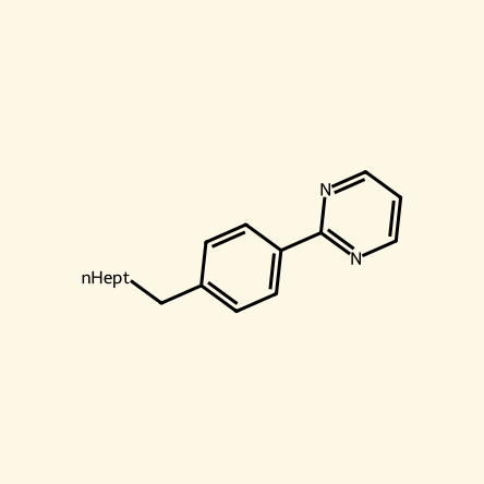 CCCCCCCCc1ccc(-c2ncccn2)cc1